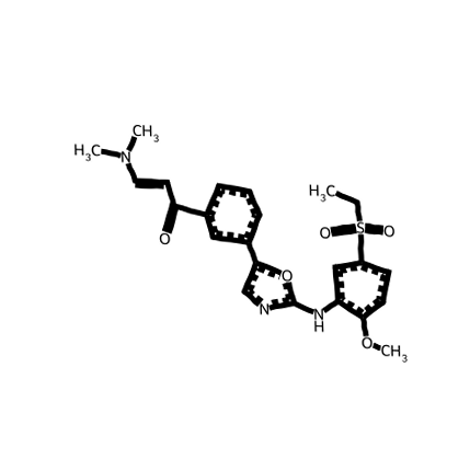 CCS(=O)(=O)c1ccc(OC)c(Nc2ncc(-c3cccc(C(=O)C=CN(C)C)c3)o2)c1